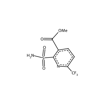 COC(=O)c1ccc(C(F)(F)F)nc1S(N)(=O)=O